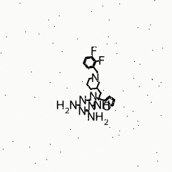 NC1=NC2=NC(CC3CCCN(Cc4cccc(F)c4F)C3)(c3ccco3)NN2C(N)=N1